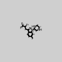 Cc1ccc2c(CC(F)C(F)F)nn(C3CNCCN3)c2c1